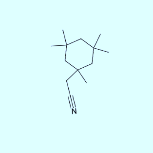 CC1(C)CC(C)(C)CC(C)(CC#N)C1